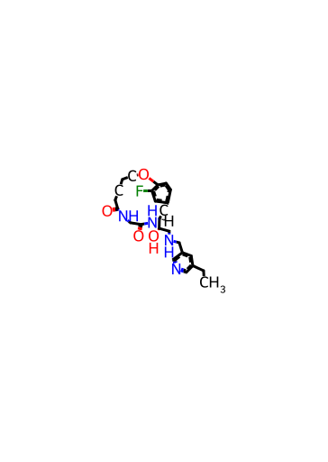 CCc1cncc(CNC[C@@H](O)[C@@H]2Cc3ccc(c(F)c3)OCCCCC(=O)NCC(=O)N2)c1